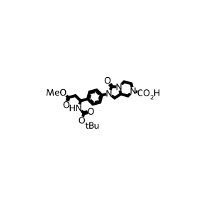 COC(=O)CC(NC(=O)OC(C)(C)C)c1ccc(N2CC3CN(C(=O)O)CCN3C2=O)cc1